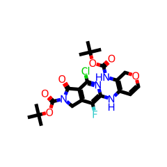 CC(C)(C)OC(=O)NC1=C(Nc2nc(Cl)c3c(c2F)CN(C(=O)OC(C)(C)C)C3=O)C=COC1